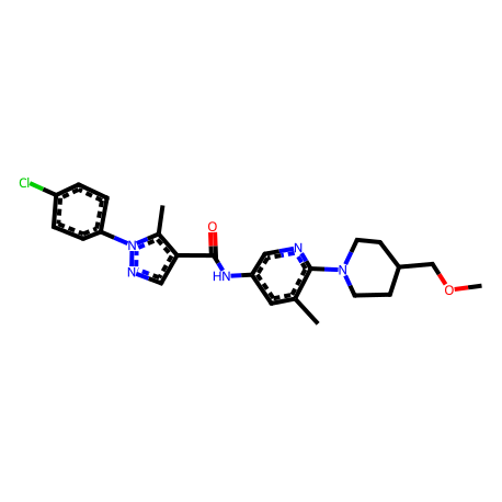 COCC1CCN(c2ncc(NC(=O)c3cnn(-c4ccc(Cl)cc4)c3C)cc2C)CC1